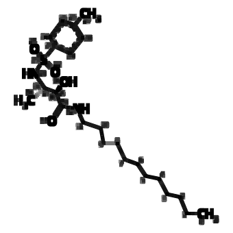 CCCCCCCCCCCCNC(=O)[C@H](O)[C@H](C)NS(=O)(=O)c1ccc(C)cc1